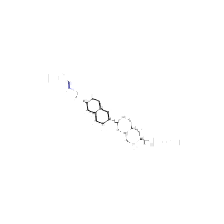 C/C=C/COc1ccc2cc(C3CCC4CC(CCCCC)CCC4C3)ccc2c1